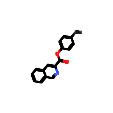 CC(C)(C)c1ccc(OC(=O)c2cc3ccccc3cn2)cc1